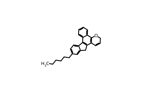 CCCCCCc1ccc2c(c1)Cc1c3c(c4ccccc4c1-2)OCC=C3